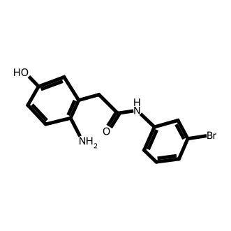 Nc1ccc(O)cc1CC(=O)Nc1cccc(Br)c1